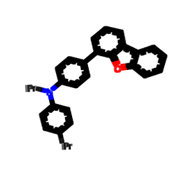 CC(C)c1ccc(N(c2ccc(-c3cccc4c3oc3ccccc34)cc2)C(C)C)cc1